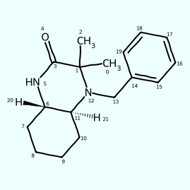 CC1(C)C(=O)N[C@H]2CCCC[C@@H]2N1Cc1ccccc1